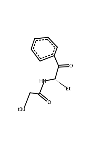 CC[C@H](NC(=O)CC(C)(C)C)C(=O)c1ccccc1